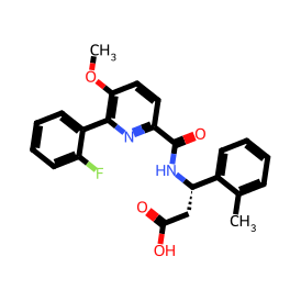 COc1ccc(C(=O)N[C@@H](CC(=O)O)c2ccccc2C)nc1-c1ccccc1F